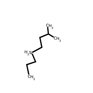 CCC[SiH2]CCC(C)C